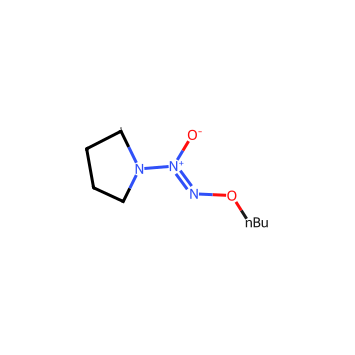 CCCCO/N=[N+](\[O-])N1[CH]CCC1